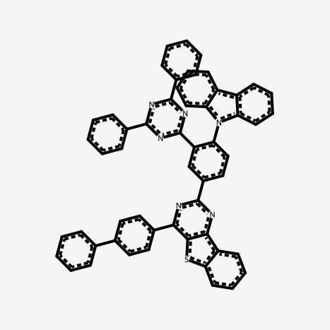 c1ccc(-c2ccc(-c3nc(-c4ccc(-n5c6ccccc6c6ccccc65)c(-c5nc(-c6ccccc6)nc(-c6ccccc6)n5)c4)nc4c3sc3ccccc34)cc2)cc1